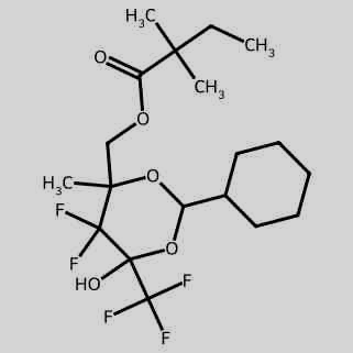 CCC(C)(C)C(=O)OCC1(C)OC(C2CCCCC2)OC(O)(C(F)(F)F)C1(F)F